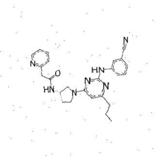 CCCc1cc(N2CC[C@H](NC(=O)Cc3ccccn3)C2)nc(Nc2cccc(C#N)c2)n1